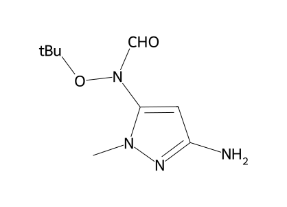 Cn1nc(N)cc1N(C=O)OC(C)(C)C